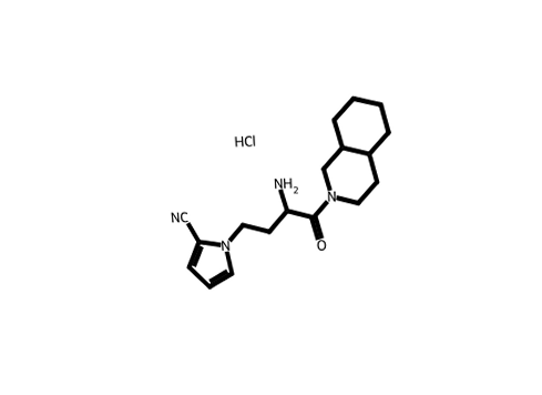 Cl.N#Cc1cccn1CCC(N)C(=O)N1CCC2CCCCC2C1